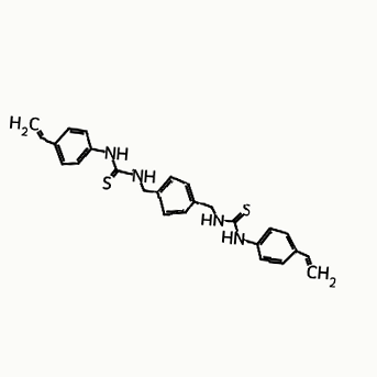 C=Cc1ccc(NC(=S)NCc2ccc(CNC(=S)Nc3ccc(C=C)cc3)cc2)cc1